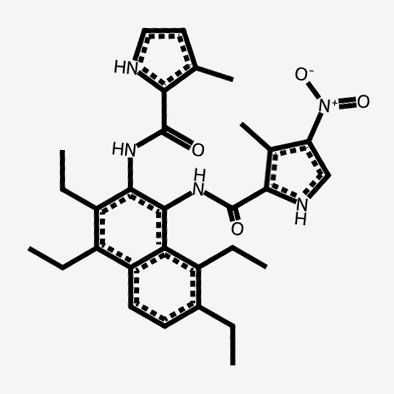 CCc1ccc2c(CC)c(CC)c(NC(=O)c3[nH]ccc3C)c(NC(=O)c3[nH]cc([N+](=O)[O-])c3C)c2c1CC